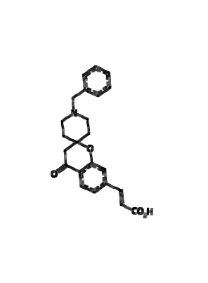 O=C(O)C=Cc1ccc2c(c1)OC1(CCN(Cc3ccccc3)CC1)CC2=O